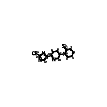 S=c1ccccn1-c1ccc(-n2cnc(Cl)n2)nc1